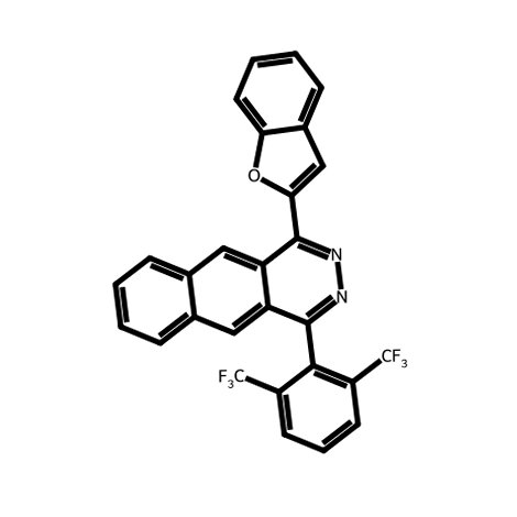 FC(F)(F)c1cccc(C(F)(F)F)c1-c1nnc(-c2cc3ccccc3o2)c2cc3ccccc3cc12